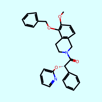 COc1ccc2c(c1OCc1ccccc1)CCN(C(=O)[C@@H](Oc1ccccn1)c1ccccc1)C2